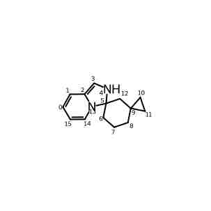 C1=CC2=CNC3(CCCC4(CC4)C3)N2C=C1